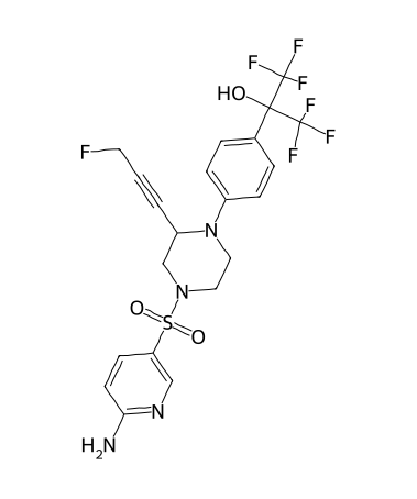 Nc1ccc(S(=O)(=O)N2CCN(c3ccc(C(O)(C(F)(F)F)C(F)(F)F)cc3)C(C#CCF)C2)cn1